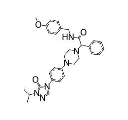 COc1ccc(CNC(=O)C(c2ccccc2)N2CCN(c3ccc(-n4cnn(C(C)C)c4=O)cc3)CC2)cc1